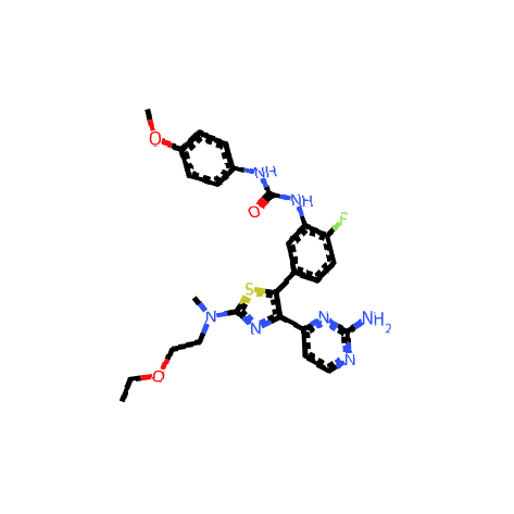 CCOCCN(C)c1nc(-c2ccnc(N)n2)c(-c2ccc(F)c(NC(=O)Nc3ccc(OC)cc3)c2)s1